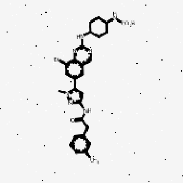 CCc1cc(-c2cc(NC(=O)Cc3cccc(C(F)(F)F)c3)nn2C)cc2cnc(NC3CCC(NC(=O)O)CC3)nc12